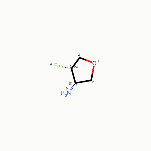 N[C@H]1COC[C@H]1F